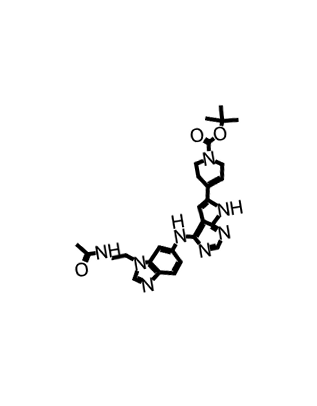 CC(=O)NCCn1cnc2ccc(Nc3ncnc4[nH]c(C5=CCN(C(=O)OC(C)(C)C)CC5)cc34)cc21